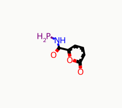 O=C(NP)c1cccc(=O)o1